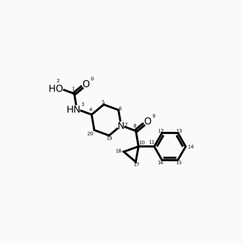 O=C(O)NC1CCN(C(=O)C2(c3ccccc3)CC2)CC1